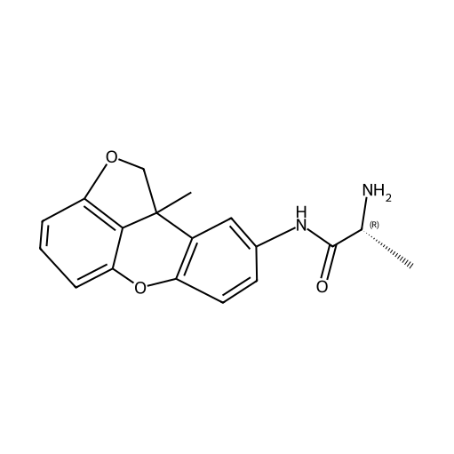 C[C@@H](N)C(=O)Nc1ccc2c(c1)C1(C)COc3cccc(c31)O2